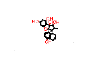 C[C@@H]1[C@@H](O)[C@@]2(O)c3c(O)cc(O)cc3O[C@@]2(c2ccc(O)cc2)[C@H]1C1C=CC=CC1